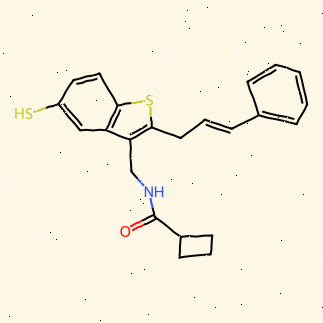 O=C(NCc1c(CC=Cc2ccccc2)sc2ccc(S)cc12)C1CCC1